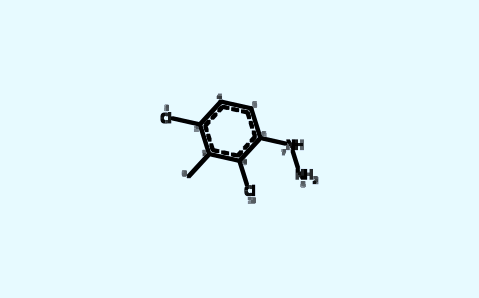 Cc1c(Cl)ccc(NN)c1Cl